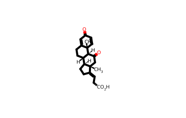 C[C@]12C=CC(=O)C=C1CC[C@@H]1[C@@H]2C(=O)C[C@]2(C)/C(=C/CC(=O)O)CC[C@@H]12